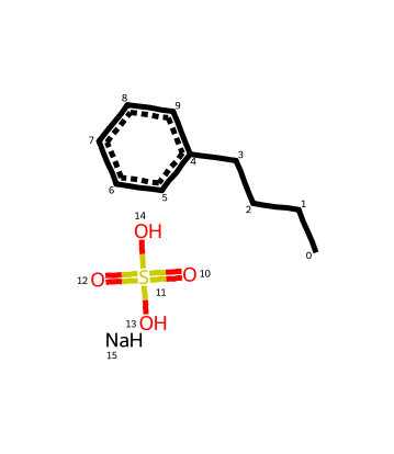 CCCCc1ccccc1.O=S(=O)(O)O.[NaH]